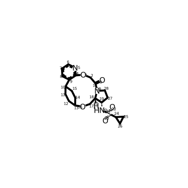 O=C1COc2ncccc2C2CCC(CC2)OC[C@H]2[C@@H](NS(=O)(=O)C3CC3)CCN12